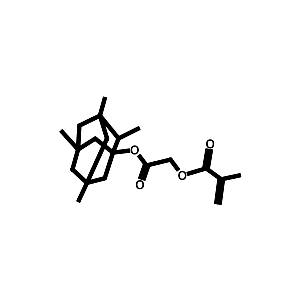 C=C(C)C(=O)OCC(=O)OC12CC3(C)CC(C)(CC(C)(C3)C1C)C2